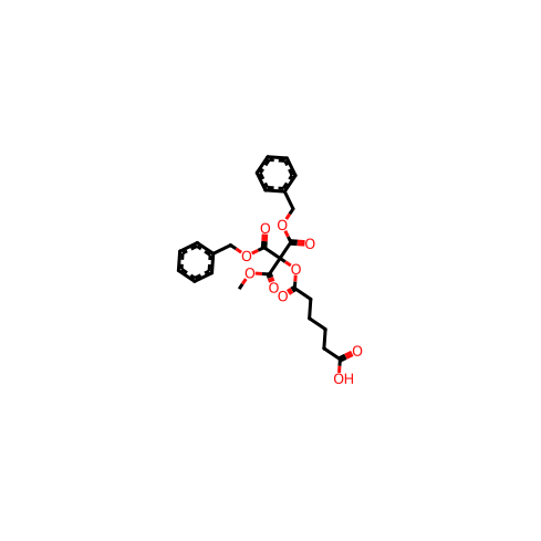 COC(=O)C(OC(=O)CCCCC(=O)O)(C(=O)OCc1ccccc1)C(=O)OCc1ccccc1